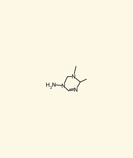 CC1N=CN(N)CN1C